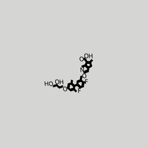 CC1=C(C(=O)O)c2cnc(OCc3cc(-c4c(C)cc(OCC[C@@H](O)CO)cc4C)c(F)cc3F)cc2C1